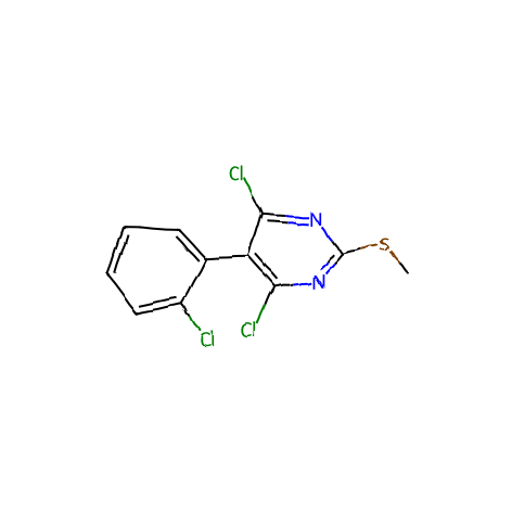 CSc1nc(Cl)c(-c2ccccc2Cl)c(Cl)n1